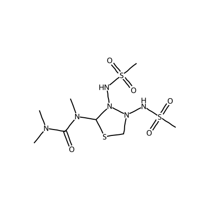 CN(C)C(=O)N(C)C1SCN(NS(C)(=O)=O)N1NS(C)(=O)=O